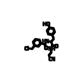 N#CCCNC(=O)C(Cc1ccc(O)cc1)NC(=O)c1cccc(CCl)c1